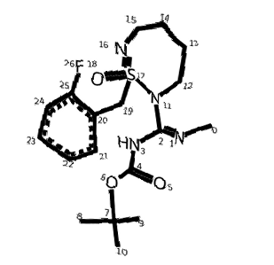 C/N=C(/NC(=O)OC(C)(C)C)N1CCCCN=S1(=O)Cc1ccccc1F